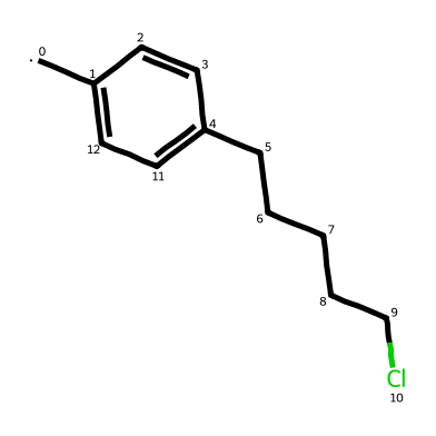 [CH2]c1ccc(CCCCCCl)cc1